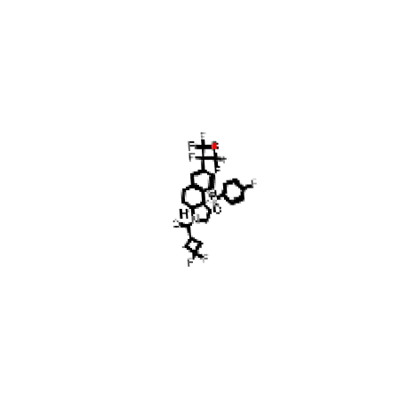 O=C(C1CC(F)(F)C1)N1CC[C@]2(S(=O)(=O)c3ccc(F)cc3)c3ccc(C(F)(C(F)(F)F)C(F)(F)F)cc3CC[C@H]12